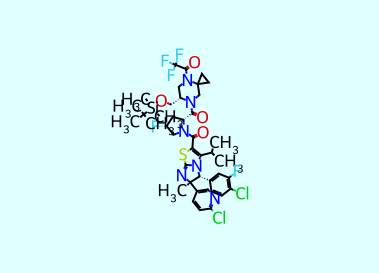 CC(C)C1=C(C(=O)N2C[C@H](F)C[C@@H]2C(=O)N2CC3(CC3)N(C(=O)C(F)(F)F)C[C@H]2CO[Si](C)(C)C(C)(C)C)SC2=N[C@@](C)(c3ccc(Cl)nc3)[C@@H](c3ccc(Cl)c(F)c3)N21